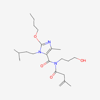 C=C(C)CC(=O)N(CCCO)C(=O)c1c(C)nc(OCCCC)n1CCC(C)C